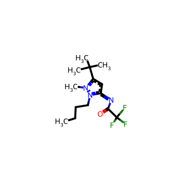 CCCCn1c(=NC(=O)C(F)(F)F)cc(C(C)(C)C)n1C